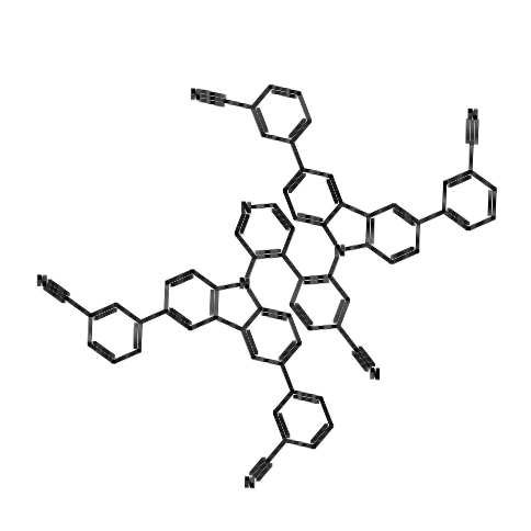 N#Cc1cccc(-c2ccc3c(c2)c2cc(-c4cccc(C#N)c4)ccc2n3-c2cnccc2-c2ccc(C#N)cc2-n2c3ccc(-c4cccc(C#N)c4)cc3c3cc(-c4cccc(C#N)c4)ccc32)c1